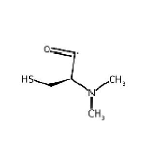 CN(C)[C@H]([C]=O)CS